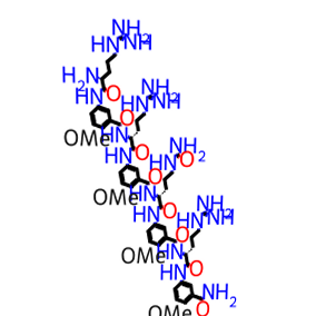 COc1ccc(NC(=O)[C@@H](CCCNC(=N)N)NC(=O)c2cc(NC(=O)[C@@H](CCCNC(N)=O)NC(=O)c3cc(NC(=O)[C@@H](CCCNC(=N)N)NC(=O)c4cc(NC(=O)[C@H](N)CCCNC(=N)N)ccc4OC)ccc3OC)ccc2OC)cc1C(N)=O